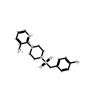 CC(=O)c1ccc(CS(=O)(=O)N2CCN(c3ncccc3C(F)(F)F)CC2)cc1